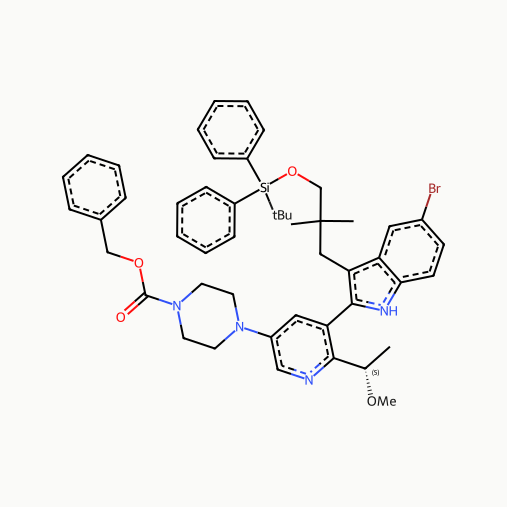 CO[C@@H](C)c1ncc(N2CCN(C(=O)OCc3ccccc3)CC2)cc1-c1[nH]c2ccc(Br)cc2c1CC(C)(C)CO[Si](c1ccccc1)(c1ccccc1)C(C)(C)C